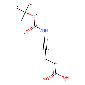 CC(C)(C)OC(=O)NC#CCCC(=O)O